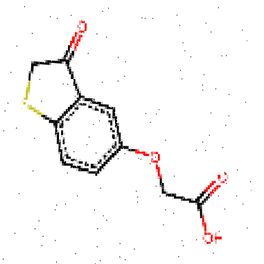 O=C(O)COc1ccc2c(c1)C(=O)CS2